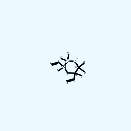 C=CC1(C)C[Si](C)(C=C)[Si](C)(C)OC1(C)C